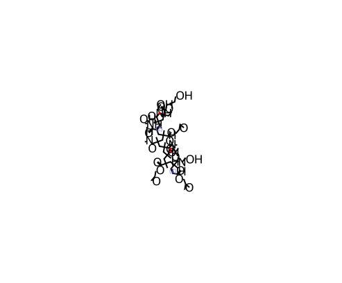 CCC(C)(CC(C)(/C=C(/CC(C)(CC(C)(CC(C)(CC(C)(CC(C)(CC(C)(/C=C\C(=O)OCC1CO1)C(=O)NCO)C(=O)OCC1CO1)C(=O)NC)C(=O)NC)C(=O)NC)C(=O)OCC1CO1)C(=O)NCO)C(=O)NCO)C(=O)OCCCO